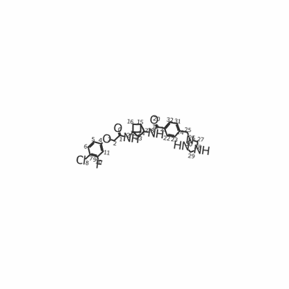 O=C(COc1ccc(Cl)c(F)c1)NC12CC(C1)C(NC(=O)c1ccc(CN3CNCN3)cc1)C2